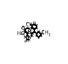 Cc1cccc(C(c2cccc(Cl)c2)C2Cn3ccnc3-c3c(O)c(=O)cnn32)c1